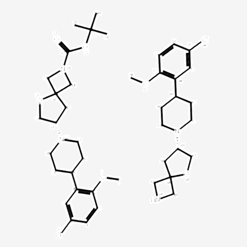 COc1ccc(Cl)cc1C1CCN([C@@H]2COC3(C2)CN(C(=O)OC(C)(C)C)C3)CC1.COc1ccc(Cl)cc1C1CCN([C@@H]2COC3(CNC3)C2)CC1